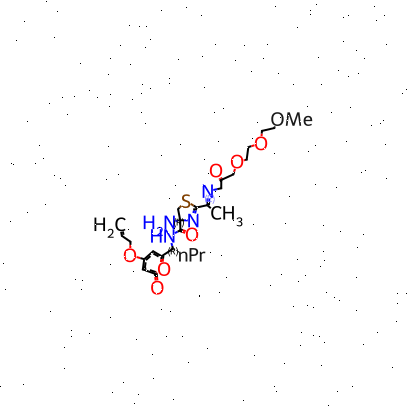 C=CCOc1cc([C@@H](CCC)NC(=O)[C@]2(N)CSC(/C(C)=N/CC(=O)COCCOCCOC)=N2)oc(=O)c1